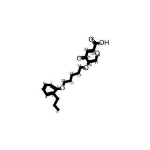 CCCc1ccccc1OCCCCCOc1coc(C(=O)O)cc1=O